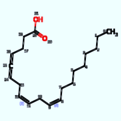 CCCCCCCC/C=C\C/C=C\CC=C=CCCC(=O)O